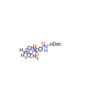 CCCCCCCCCCCCNC(=O)c1ccc2c(c1)C(=O)N(C1CC(C)(C)NC(C)(C)C1)C2=O